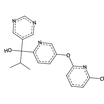 CC(C)C(O)(c1cncnc1)c1ccc(Oc2cccc(Cl)n2)cn1